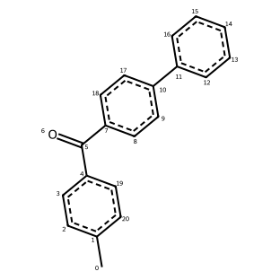 Cc1ccc(C(=O)c2ccc(-c3ccccc3)cc2)cc1